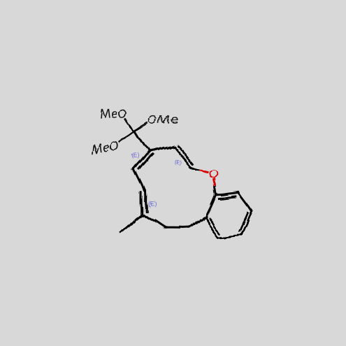 COC(OC)(OC)C1=C/C=C(\C)CCc2ccccc2O\C=C\1